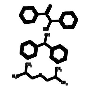 CC(C)COCC(C)C.O=C(c1ccccc1)C(O)c1ccccc1.OC(c1ccccc1)c1ccccc1